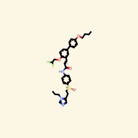 CCCCOc1ccc(-c2ccc(OCC(F)F)c(/C=C/C(=O)Nc3ccc([S@@+]([O-])CCc4cncn4CCC)cc3)c2)cc1